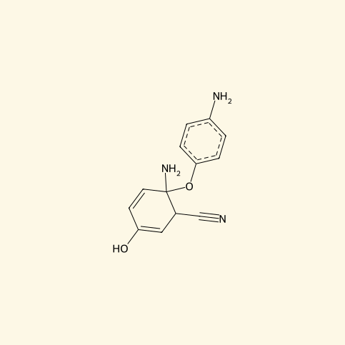 N#CC1C=C(O)C=CC1(N)Oc1ccc(N)cc1